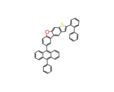 c1ccc(-c2ccccc2-c2cc3cc4c(cc3s2)oc2ccc(-c3c5ccccc5c(-c5ccccc5)c5ccccc35)cc24)cc1